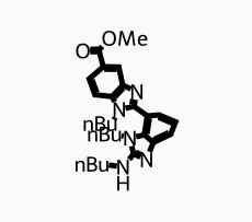 CCCCNc1nc2cccc(-c3nc4cc(C(=O)OC)ccc4n3CCCC)c2n1CCCC